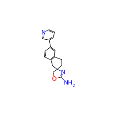 NC1=NC2(CCc3cc(-c4cccnc4)ccc3C2)CO1